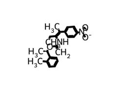 C=C(N/C(CC)=C(/C)c1ccc([N+](=O)[O-])cc1)O[C@H](C)c1ccccc1C